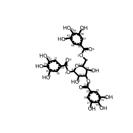 O=C(OCC1OC(OC(=O)c2cc(O)c(O)c(O)c2)C(O)C(OC(=O)c2cc(O)c(O)c(O)c2)C1O)c1cc(O)c(O)c(O)c1